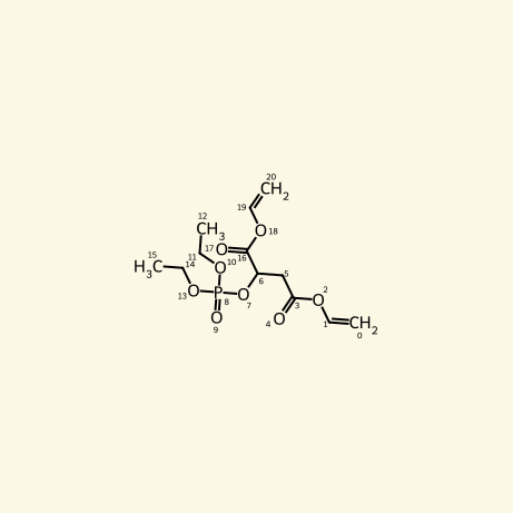 C=COC(=O)CC(OP(=O)(OCC)OCC)C(=O)OC=C